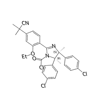 CCOc1cc(C(C)(C)C#N)ccc1C1=N[C@@](C)(c2ccc(Cl)cc2)[C@@](C)(c2ccc(Cl)cc2)N1C(=O)Cl